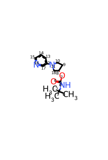 CC(C)(C)NC(=O)O[C@H]1CCN(c2cccnc2)C1